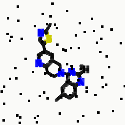 [2H]c1nc(N2CCc3ncc(-c4cnc(C)s4)cc3C2)c2cc(C)ccc2n1